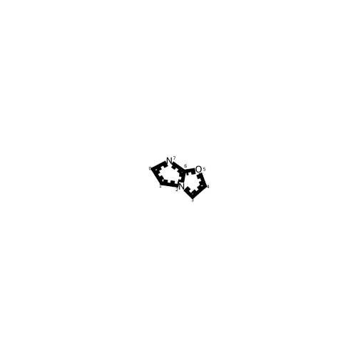 [c]1cn2c[c]oc2n1